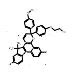 COc1ccc(C2(c3ccc(OCCO)cc3)C=Cc3c4c(c5ccc(F)cc5c3O2)-c2ccc(F)cc2C4(C)C)cc1